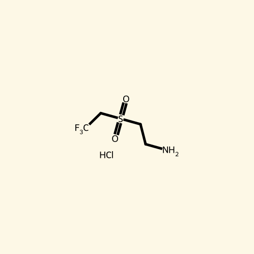 Cl.NCCS(=O)(=O)CC(F)(F)F